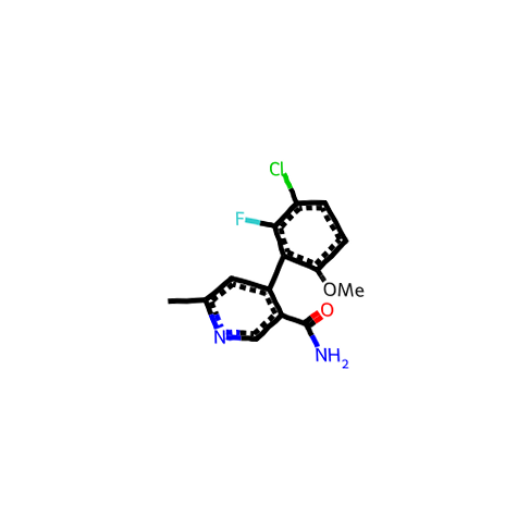 COc1ccc(Cl)c(F)c1-c1cc(C)ncc1C(N)=O